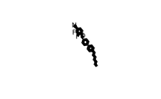 CCCCCCCc1ccc([C@H]2CC[C@H](COc3ccc(C#N)c(F)c3F)CC2)cc1